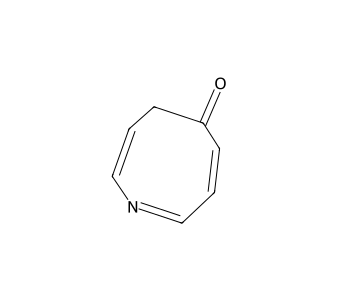 O=C1C=CC=NC=CC1